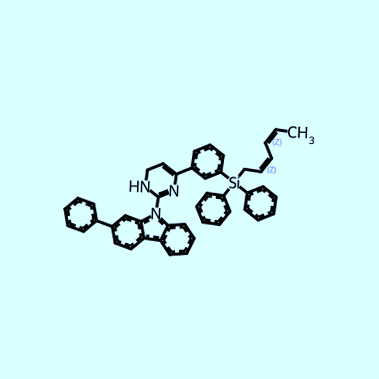 C/C=C\C=C/C[Si](c1ccccc1)(c1ccccc1)c1cccc(C2=CCNC(n3c4ccccc4c4ccc(-c5ccccc5)cc43)=N2)c1